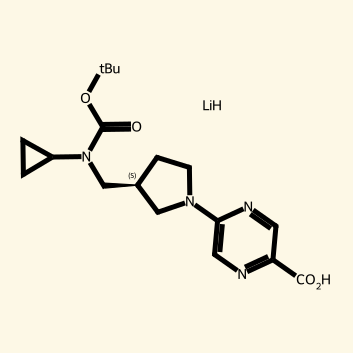 CC(C)(C)OC(=O)N(C[C@H]1CCN(c2cnc(C(=O)O)cn2)C1)C1CC1.[LiH]